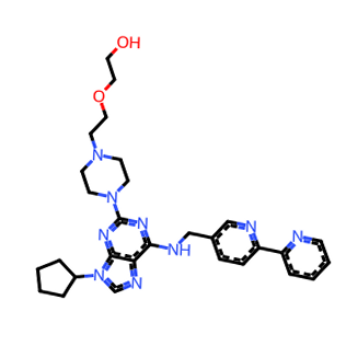 OCCOCCN1CCN(c2nc(NCc3ccc(-c4ccccn4)nc3)c3ncn(C4CCCC4)c3n2)CC1